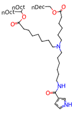 CCCCCCCCCCCOC(=O)CCCCCN(CCCCCCCC(=O)OC(CCCCCCCC)CCCCCCCC)CCCCCCNC(=O)c1cc[nH]c1